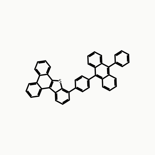 c1ccc(-c2c3ccccc3c(-c3ccc(-c4cccc5c4sc4c6ccccc6c6ccccc6c54)cc3)c3ccccc23)cc1